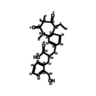 CCN1C(=O)C(C)(C)C(=O)N(C)c2cc(CN(Cc3cccnc3CO)C(=O)O)ccc21